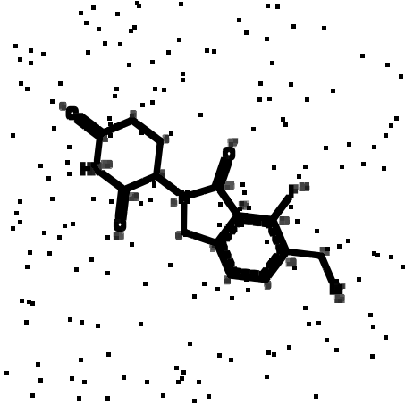 O=C1CCC(N2Cc3ccc(CBr)c(F)c3C2=O)C(=O)N1